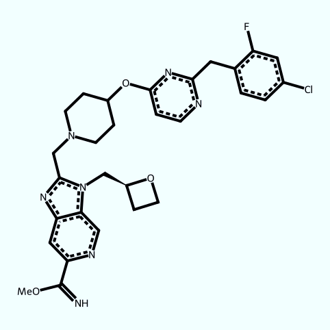 COC(=N)c1cc2nc(CN3CCC(Oc4ccnc(Cc5ccc(Cl)cc5F)n4)CC3)n(C[C@@H]3CCO3)c2cn1